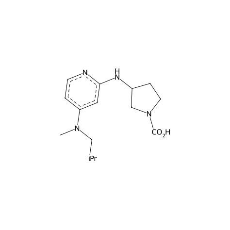 CC(C)CN(C)c1ccnc(NC2CCN(C(=O)O)C2)c1